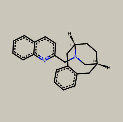 c1ccc2c(c1)C[C@H]1CC[C@@H](C2)N(Cc2ccc3ccccc3n2)C1